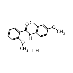 COc1ccc(PC(=O)c2ccccc2OC)c(Cl)c1.[LiH]